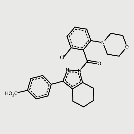 O=C(O)c1ccc(-c2nn(C(=O)c3c(Cl)cccc3N3CCOCC3)c3c2CCCC3)cc1